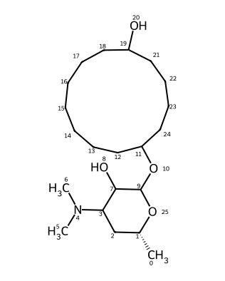 C[C@@H]1CC(N(C)C)C(O)C(OC2CCCCCCCC(O)CCCC2)O1